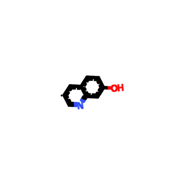 Oc1ccc2c[c]cnc2c1